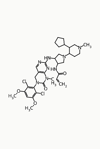 C=CC(=O)NC1CN(C2CCN(C)CC2C2CCCC2)CC1Nc1ncc2c(n1)N(C)C(=O)N(c1c(Cl)c(OC)cc(OC)c1Cl)C2